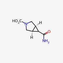 NC(=O)C1[C@H]2CN(C(=O)O)C[C@@H]12